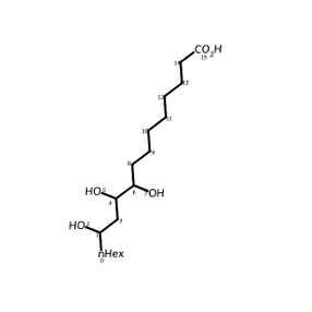 CCCCCCC(O)CC(O)C(O)CCCCCCCC(=O)O